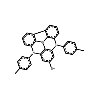 Cc1ccc(N2c3cccc4c3B3c5c-4cccc5N(c4ccc(C)cc4)c4cc(C(C)C)cc2c43)cc1